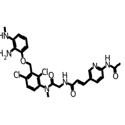 CNc1cccc(OCc2c(Cl)ccc(N(C)C(=O)CNC(=O)C=Cc3ccc(NC(C)=O)nc3)c2Cl)c1N